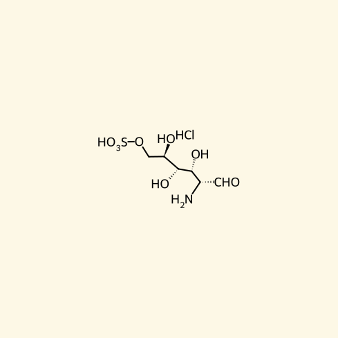 Cl.N[C@@H](C=O)[C@@H](O)[C@H](O)[C@H](O)COS(=O)(=O)O